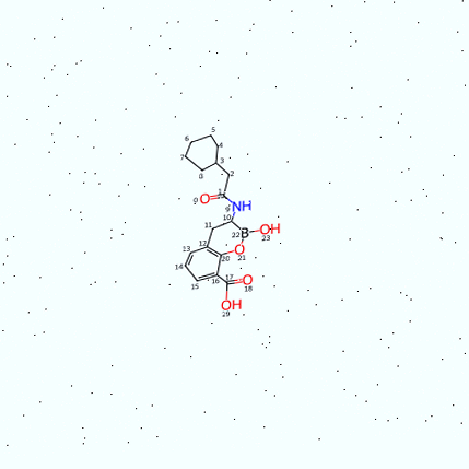 O=C(CC1CCCCC1)NC1Cc2cccc(C(=O)O)c2OB1O